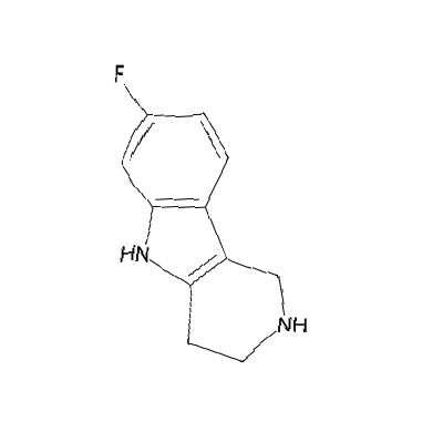 Fc1ccc2c3c([nH]c2c1)CCNC3